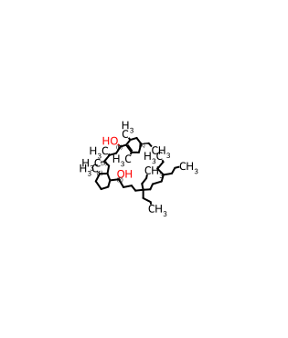 CCCC(CCC)CCCC(CCC)(CCC)CCC[C@@H](O)C1CCC[C@H](C)C1C[C@H](C)C(C)C[C@@H](O)C1=C(C)C[C@H](CC)CC1C